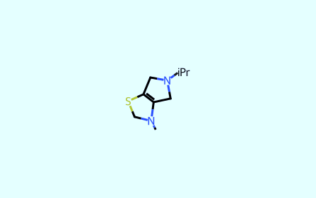 CC(C)N1CC2=C(C1)N(C)CS2